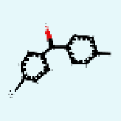 CC(=O)c1ccc(C(=O)c2ccc(C)cc2)cc1